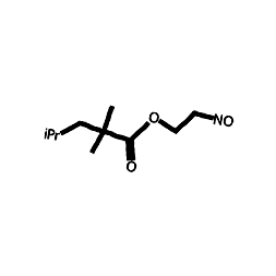 CC(C)CC(C)(C)C(=O)OCCN=O